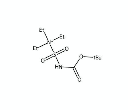 CC[N+](CC)(CC)S(=O)(=O)NC(=O)OC(C)(C)C